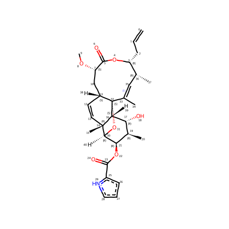 C=CC[C@H]1OC(=O)[C@@H](OC)C[C@H]2C=C[C@]3(C)[C@H]4[C@H](O)[C@@H](C)[C@@H](OC(=O)c5ccc[nH]5)[C@@H]3O[C@@]24/C(C)=C/[C@H]1C